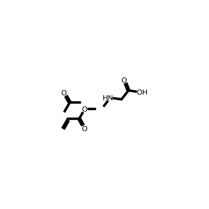 C=CC(=O)OC.CC(C)=O.CNCC(=O)O